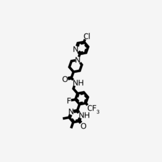 Cc1nc(-c2c(C(F)(F)F)ccc(CNC(=O)C3CCN(c4ccc(Cl)cn4)CC3)c2F)[nH]c(=O)c1C